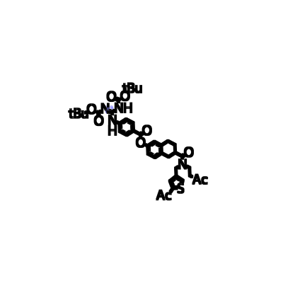 CC(=O)CCN(Cc1csc(C(C)=O)c1)C(=O)C1CCc2cc(OC(=O)c3ccc(N/C(=N\C(=O)OC(C)(C)C)NC(=O)OC(C)(C)C)cc3)ccc2C1